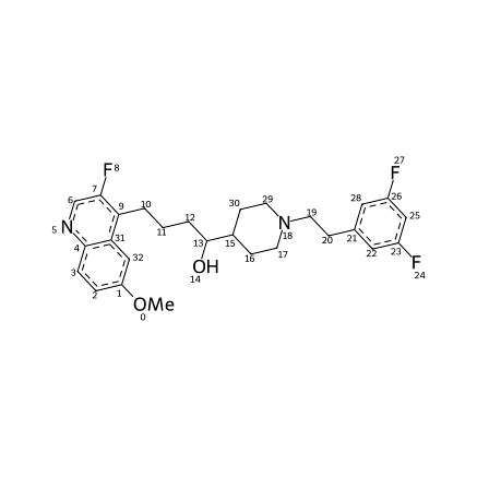 COc1ccc2ncc(F)c(CCCC(O)C3CCN(CCc4cc(F)cc(F)c4)CC3)c2c1